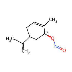 C=C(C)C1CC=C(C)[C@@H](ON=O)C1